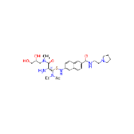 CCN(C(C)=O)/C(SNc1ccc2cc(C(=O)NCCN3CCCC3)ccc2c1)=C(\N)C(=O)N(C)CC(O)CO